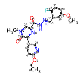 CCOc1ccc(-c2nc(C(=O)N/N=C/c3cc(OC)ccc3F)cn(C)c2=O)cn1